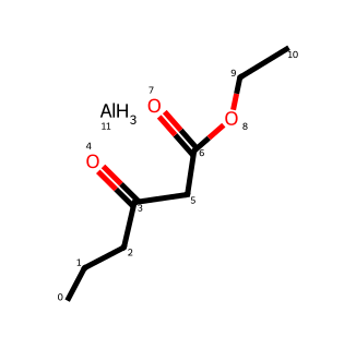 CCCC(=O)CC(=O)OCC.[AlH3]